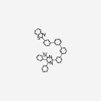 C[Si]1(C)c2ccccc2-c2c(-c3ccccc3)nc(-c3cccc(-c4cccc(-c5cccc(-c6cccc(-c7nc8ccccc8s7)c6)c5)c4)c3)nc21